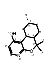 C[C@@H]1CCC2C(C1)c1c(O)ccnc1OC2(C)C